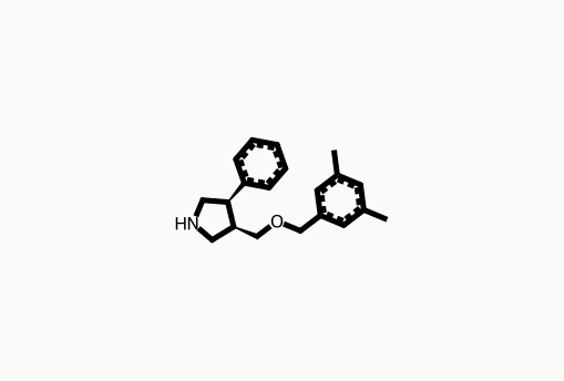 Cc1cc(C)cc(COC[C@H]2CNC[C@H]2c2ccccc2)c1